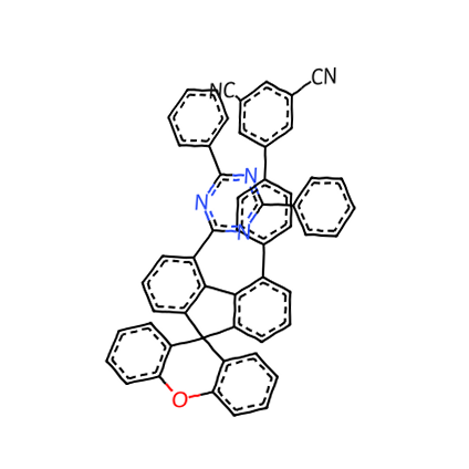 N#Cc1cc(C#N)cc(-c2ccc(-c3cccc4c3-c3c(-c5nc(-c6ccccc6)nc(-c6ccccc6)n5)cccc3C43c4ccccc4Oc4ccccc43)cc2)c1